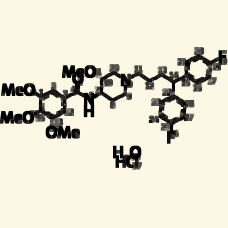 COc1cc(C(=O)N[C@@H]2CCN(CCCC(c3ccc(F)cc3)c3ccc(F)cc3)C[C@H]2OC)cc(OC)c1OC.Cl.O